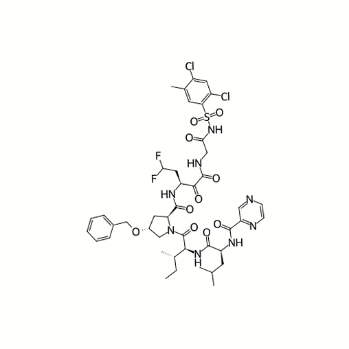 CC[C@H](C)[C@H](NC(=O)[C@H](CC(C)C)NC(=O)c1cnccn1)C(=O)N1C[C@H](OCc2ccccc2)C[C@H]1C(=O)N[C@@H](CC(F)F)C(=O)C(=O)NCC(=O)NS(=O)(=O)c1cc(C)c(Cl)cc1Cl